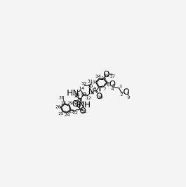 COCCCOc1cc(C(=O)N(C[C@@H]2CNC[C@H]2NS(=O)(=O)Cc2cccc(C)c2)C(C)C)ccc1OC